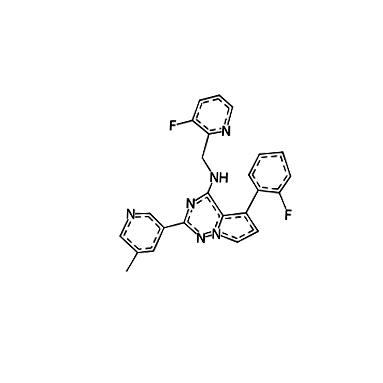 Cc1cncc(-c2nc(NCc3ncccc3F)c3c(-c4ccccc4F)ccn3n2)c1